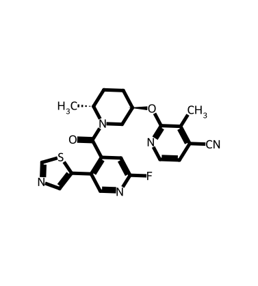 Cc1c(C#N)ccnc1O[C@@H]1CC[C@@H](C)N(C(=O)c2cc(F)ncc2-c2cncs2)C1